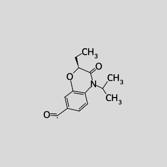 CC[C@@H]1Oc2cc([C]=O)ccc2N(C(C)C)C1=O